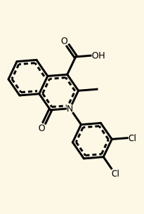 Cc1c(C(=O)O)c2ccccc2c(=O)n1-c1ccc(Cl)c(Cl)c1